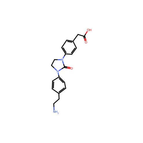 NCCc1ccc(N2CCN(c3ccc(CC(=O)O)cc3)C2=O)cc1